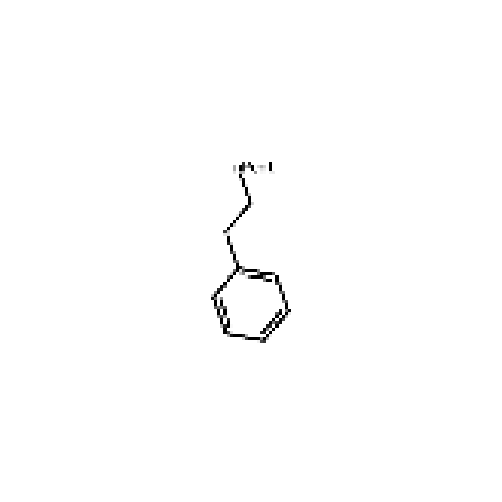 CCCC[CH]CCc1ccccc1